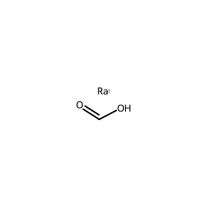 O=CO.[Ra]